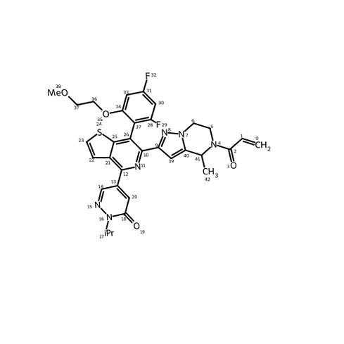 C=CC(=O)N1CCn2nc(-c3nc(-c4cnn(C(C)C)c(=O)c4)c4ccsc4c3-c3c(F)cc(F)cc3OCCOC)cc2C1C